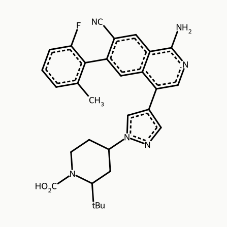 Cc1cccc(F)c1-c1cc2c(-c3cnn(C4CCN(C(=O)O)C(C(C)(C)C)C4)c3)cnc(N)c2cc1C#N